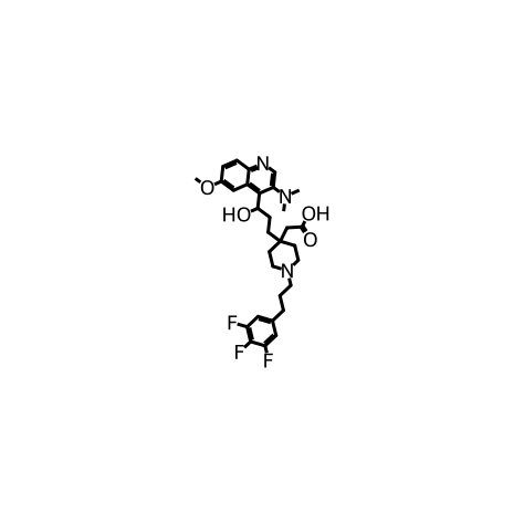 COc1ccc2ncc(N(C)C)c(C(O)CCC3(CC(=O)O)CCN(CCCc4cc(F)c(F)c(F)c4)CC3)c2c1